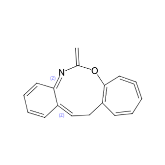 C=C1/N=c2/cccc/c2=C/CC2=C(C=C=CC=C2)O1